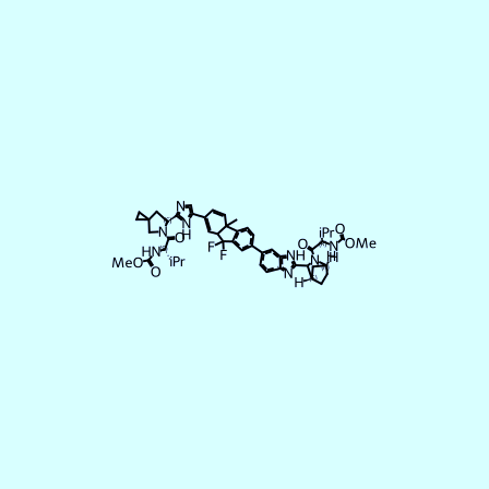 COC(=O)N[C@H](C(=O)N1CC2(CC2)C[C@H]1c1ncc(C2=CC3C(F)(F)c4cc(-c5ccc6nc(C7[C@H]8CC[C@H](C8)N7C(=O)[C@H](NC(=O)OC)C(C)C)[nH]c6c5)ccc4C3(C)C=C2)[nH]1)C(C)C